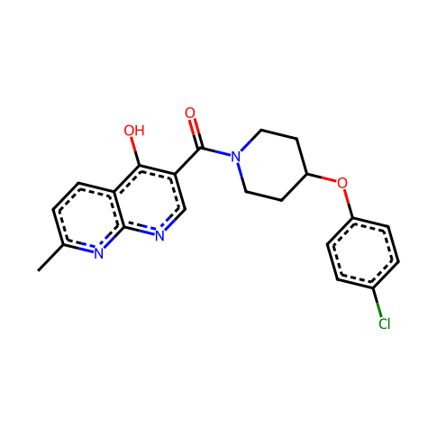 Cc1ccc2c(O)c(C(=O)N3CCC(Oc4ccc(Cl)cc4)CC3)cnc2n1